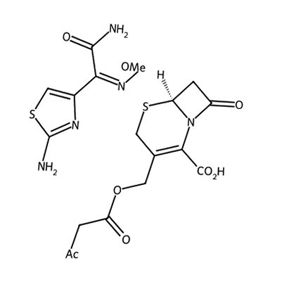 CC(=O)CC(=O)OCC1=C(C(=O)O)N2C(=O)C[C@@H]2SC1.CO/N=C(\C(N)=O)c1csc(N)n1